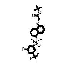 CC(C)(C)OC(=O)COc1cccc2c1CCC[C@H]2NS(=O)(=O)c1cc(F)cc(C(F)(F)F)c1